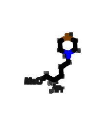 CCC[C@@H](CCCN1CCSCC1)COC